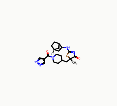 CC1(CC2CCN(C(=O)c3cn[nH]c3)CC2)SC(N[C@H]2C[C@@H]3CCC2C3)=NC1=O